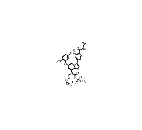 COCCN(C(=O)OC(C)(C)C)c1cc(Oc2cc(F)ccc2O)cn2c(-c3ccc(C(=O)NC4CC4)c(C)c3)cnc12